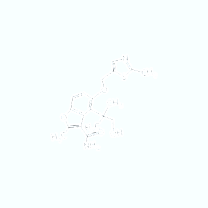 Cc1ncc(COc2ccc3oc(C)c(C(N)=O)c3c2C(C)(C)CO)s1